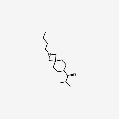 CCCCN1CC2(CCN(C(=O)C(C)C)CC2)C1